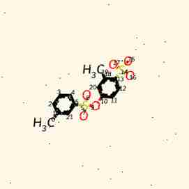 Cc1cccc(S(=O)(=O)Oc2ccc(S([O])(=O)=O)c(C)c2)c1